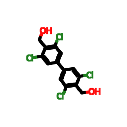 OCc1c(Cl)cc(-c2cc(Cl)c(CO)c(Cl)c2)cc1Cl